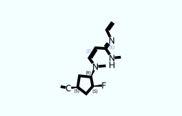 C=C/N=C(\C=C/N(C)[C@@H]1C[C@H](CC)C[C@@H]1F)NC